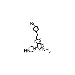 Nc1nc(N2CCNCC2)c2nc(CCc3ccc(Br)cc3)sc2n1